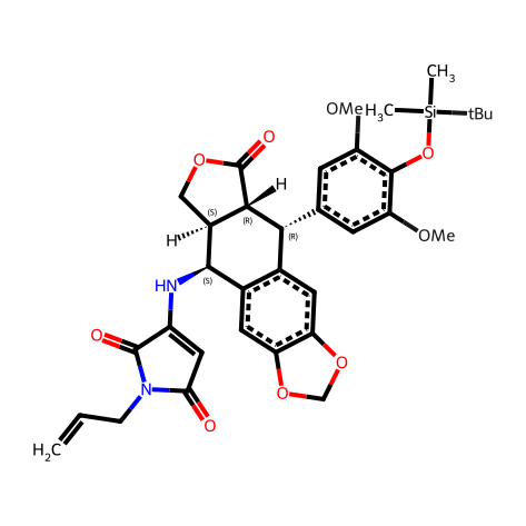 C=CCN1C(=O)C=C(N[C@@H]2c3cc4c(cc3[C@@H](c3cc(OC)c(O[Si](C)(C)C(C)(C)C)c(OC)c3)[C@H]3C(=O)OC[C@@H]32)OCO4)C1=O